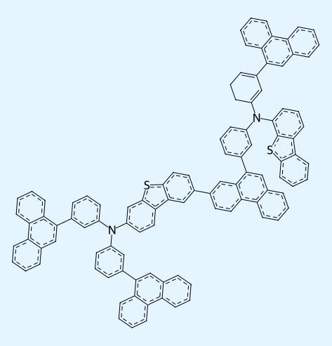 C1=C(c2cc3ccccc3c3ccccc23)C=C(N(c2cccc(-c3cc4ccccc4c4ccc(-c5ccc6sc7cc(N(c8cccc(-c9cc%10ccccc%10c%10ccccc9%10)c8)c8cccc(-c9cc%10ccccc%10c%10ccccc9%10)c8)ccc7c6c5)cc34)c2)c2cccc3c2sc2ccccc23)CC1